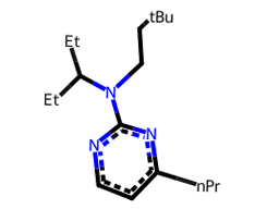 CCCc1ccnc(N(CCC(C)(C)C)C(CC)CC)n1